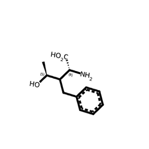 C[C@H](O)C(Cc1ccccc1)[C@@H](N)C(=O)O